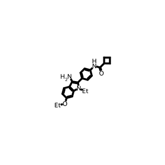 CCOc1ccc2c(N)c(-c3ccc(NC(=O)C4CCC4)cc3)n(CC)c2c1